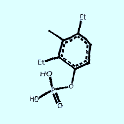 CCc1ccc(OP(=O)(O)O)c(CC)c1C